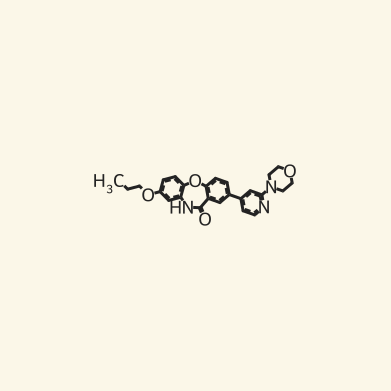 CCCOc1ccc2c(c1)NC(=O)c1cc(-c3ccnc(N4CCOCC4)c3)ccc1O2